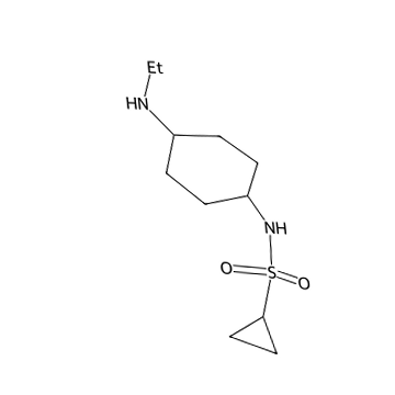 CCNC1CCC(NS(=O)(=O)C2CC2)CC1